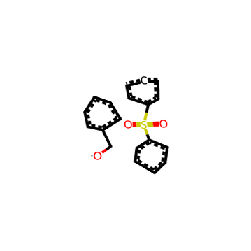 O=S(=O)(c1ccccc1)c1ccccc1.[O]Cc1ccccc1